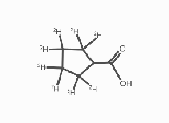 [2H]C1([2H])C(C(=O)O)C([2H])([2H])C([2H])([2H])C1([2H])[2H]